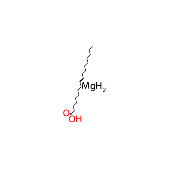 CCCCCCCC/C=C/CCCCCCCC(=O)O.[MgH2]